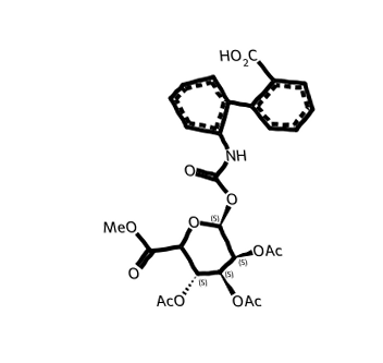 COC(=O)C1O[C@@H](OC(=O)Nc2ccccc2-c2ccccc2C(=O)O)[C@@H](OC(C)=O)[C@@H](OC(C)=O)[C@@H]1OC(C)=O